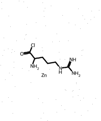 N=C(N)NCCCC(N)C(=O)Cl.[Zn]